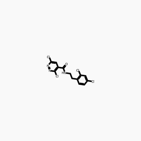 O=C(NCCc1ccc(Cl)cc1Cl)c1cc(Cl)nnc1Cl